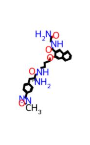 Cc1nc(-c2ccc(C[C@H](N)C(=O)NCCCCOc3cc4ccccc4cc3C(=O)NCC(N)=O)cc2)no1